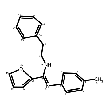 Cc1ccc(/N=C(\NCCc2ccccc2)c2ccco2)cc1